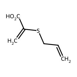 C=CCSC(=C)C(=O)O